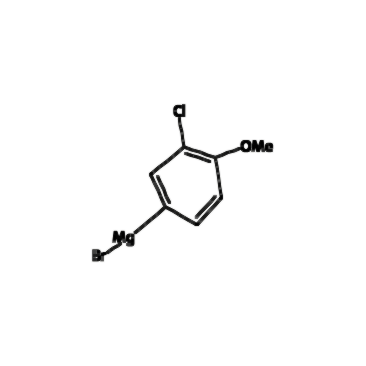 COc1cc[c]([Mg][Br])cc1Cl